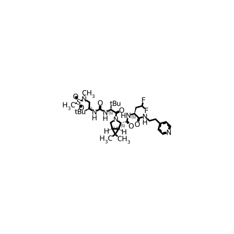 CN(C[C@@H](NC(=O)N[C@H](C(=O)N1C[C@H]2[C@@H]([C@H]1C(=O)N[C@@H](CC(F)F)C(=O)NCCc1ccncc1)C2(C)C)C(C)(C)C)C(C)(C)C)S(C)(=O)=O